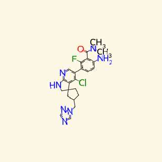 CN(C)C(=O)c1c(N)ccc(-c2cnc3c(c2Cl)C2(CCC(Cn4cncn4)C2)CN3)c1F